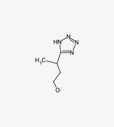 CC(CC[O])c1nnn[nH]1